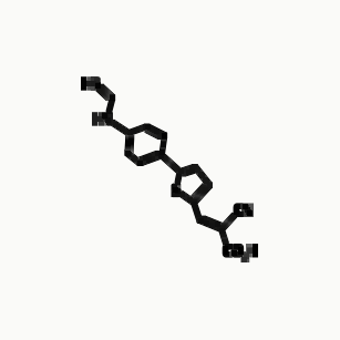 B=CNc1ccc(-c2ccc(/C=C(\C#N)C(=O)O)s2)cc1